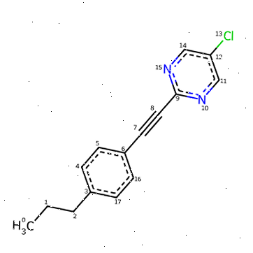 CCCc1ccc(C#Cc2ncc(Cl)cn2)cc1